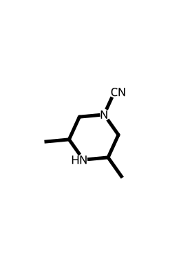 CC1CN(C#N)CC(C)N1